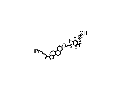 CC(C)CCCC(C)C1CCC2C3CCC4C[C@@H](OCCSc5c(F)c(F)c(SOOO)c(F)c5F)CC[C@]4(C)C3CC[C@]12C